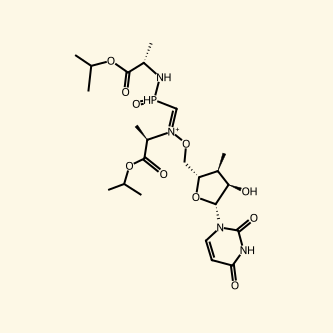 CC(C)OC(=O)[C@H](C)N[PH](=O)/C=[N+](/OC[C@H]1O[C@@H](n2ccc(=O)[nH]c2=O)[C@H](O)[C@@H]1C)[C@H](C)C(=O)OC(C)C